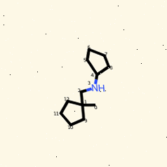 CC1(CNC2CCCC2)CCCC1